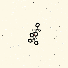 O=C(Nc1ccc(SC(c2ccccc2)(c2ccccc2)c2ccccc2)cc1)c1ccccc1